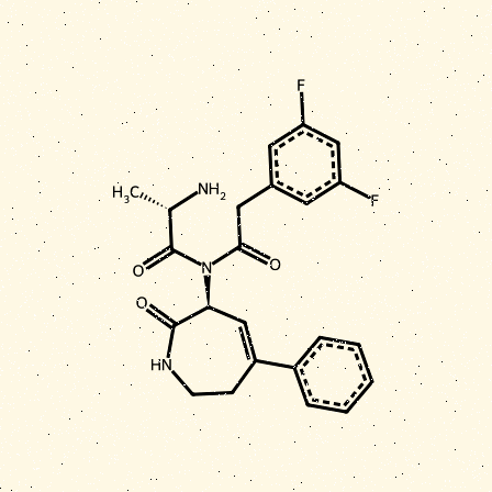 C[C@H](N)C(=O)N(C(=O)Cc1cc(F)cc(F)c1)[C@H]1C=C(c2ccccc2)CCNC1=O